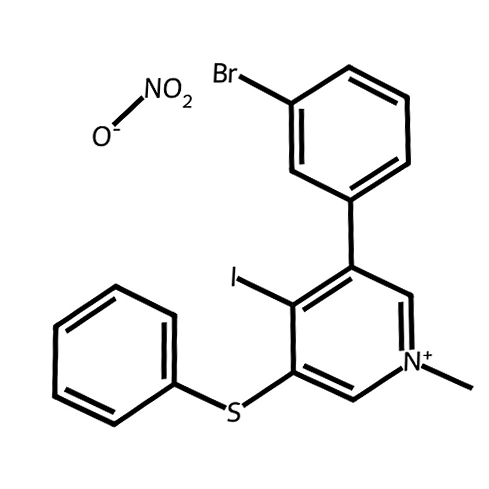 C[n+]1cc(Sc2ccccc2)c(I)c(-c2cccc(Br)c2)c1.O=[N+]([O-])[O-]